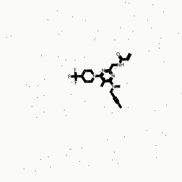 C=CC(=O)NCc1nc(N(C)CC#CC)c(C)c(N2CCC(C(F)(F)F)CC2)n1